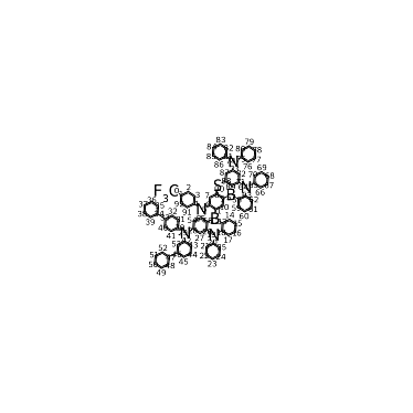 FC(F)(F)c1ccc(N2c3cc4c(cc3B3c5ccccc5N(c5ccccc5)c5cc(N(c6ccc(-c7ccccc7)cc6)c6cccc(-c7ccccc7)c6)cc2c53)B2c3ccccc3N(c3ccccc3)c3cc(N(c5ccccc5)c5ccccc5)cc(c32)S4)cc1